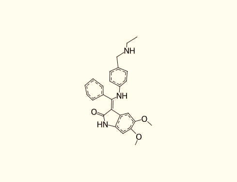 CCNCc1ccc(NC(=C2C(=O)Nc3cc(OC)c(OC)cc32)c2ccccc2)cc1